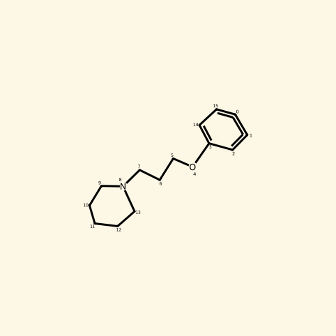 C1=C=CC(OCCCN2CCCCC2)=CC=1